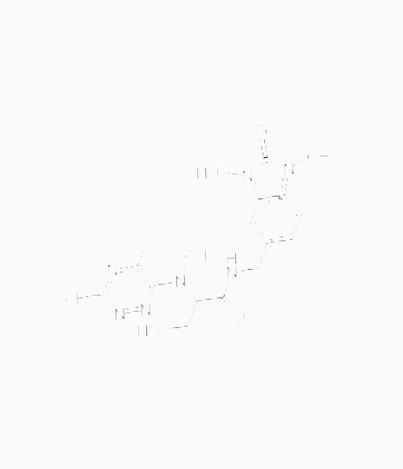 CCC(C(=O)NCc1ccc2c(c1)n(C)c(=O)n2C)N(C)c1nnc(Cl)nc1Cl